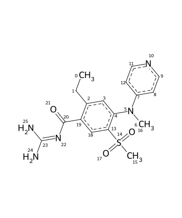 CCc1cc(N(C)c2ccncc2)c(S(C)(=O)=O)cc1C(=O)N=C(N)N